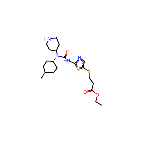 CCOC(=O)CCSc1cnc(NC(=O)N(C2CCNCC2)[C@H]2CC[C@H](C)CC2)s1